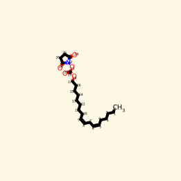 CCCCC/C=C\C/C=C\CCCCCCCCOC(=O)ON1C(=O)CCC1=O